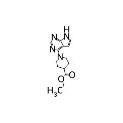 CCOC(=O)C1CCN(c2ncnc3[nH]ccc23)CC1